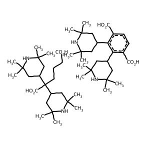 CC1(C)CC(C(CCCC(=O)O)(C(=O)O)C2CC(C)(C)NC(C)(C)C2)CC(C)(C)N1.CC1(C)CC(c2c(C(=O)O)ccc(C(=O)O)c2C2CC(C)(C)NC(C)(C)C2)CC(C)(C)N1